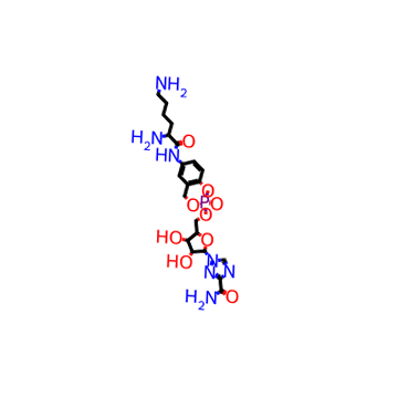 NCCCCC(N)C(=O)Nc1ccc2c(c1)COP(=O)(OCC1OC(n3cnc(C(N)=O)n3)C(O)C1O)O2